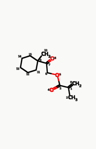 C=C(C)C(=O)OCC(=O)C1(C)CCCCC1